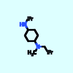 CC(C)CN(C)[C@H]1CC[C@@H](NC(C)C)CC1